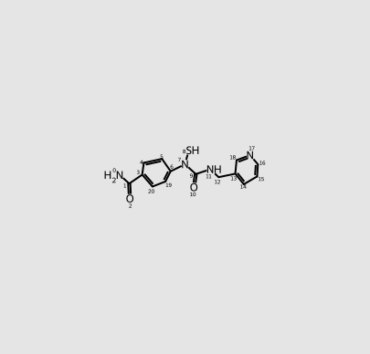 NC(=O)c1ccc(N(S)C(=O)NCc2cccnc2)cc1